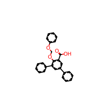 O=C(O)c1cc(-c2ccccc2)cc(-c2ccccc2)c1OCOc1ccccc1